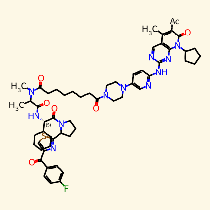 CC(=O)c1c(C)c2cnc(Nc3ccc(N4CCN(C(=O)CCCCCCC(=O)N(C)C(C)C(=O)N[C@H](C(=O)N5CCCC5c5nc(C(=O)c6ccc(F)cc6)cs5)C5CCCCC5)CC4)cn3)nc2n(C2CCCC2)c1=O